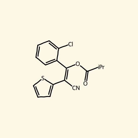 CC(C)C(=O)OC(=C(C#N)c1cccs1)c1ccccc1Cl